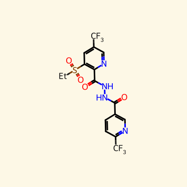 CCS(=O)(=O)c1cc(C(F)(F)F)cnc1C(=O)NNC(=O)c1ccc(C(F)(F)F)nc1